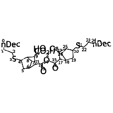 CCCCCCCCCCCCSC1CC2CC1C(C(=O)O)C2C(=O)OC(=O)C1C2CC(SCCCCCCCCCCCC)C(C2)C1C(=O)O